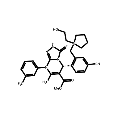 COC(=O)C1=C(C)N(c2cccc(C(F)(F)F)c2)c2n[nH]c(=O)n2[C@@H]1c1ccc(C#N)cc1C[N+]1(CCO)CCCC1